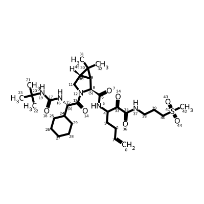 C=CCCC(NC(=O)[C@@H]1C2[C@H](CN1C(=O)[C@@H](NC(=O)NC(C)(C)C)C1CCCCC1)C2(C)C)C(=O)C(=O)NCCCS(C)(=O)=O